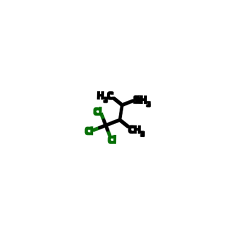 CC([SiH3])C(C)C(Cl)(Cl)Cl